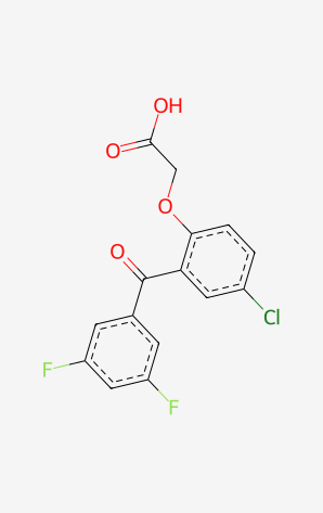 O=C(O)COc1ccc(Cl)cc1C(=O)c1cc(F)cc(F)c1